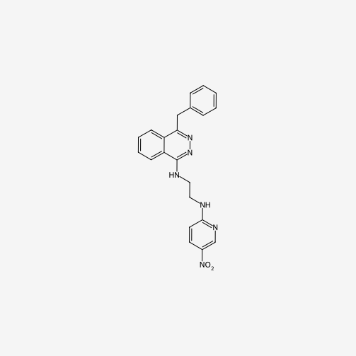 O=[N+]([O-])c1ccc(NCCNc2nnc(Cc3ccccc3)c3ccccc23)nc1